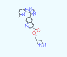 Cc1cccc(-c2[nH]cnc2-c2ccc3ncc(C(=O)OCCC4CCNC4)cc3c2)n1